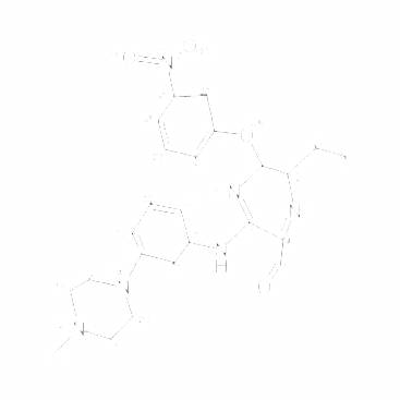 CCC1N=C(C=O)C(NC2C=CC=C(N3CCN(C)CC3)C2)=NC1OC1=CC=CC([N+](=O)[O-])C1